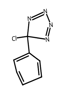 ClC1(c2ccccc2)N=NN=N1